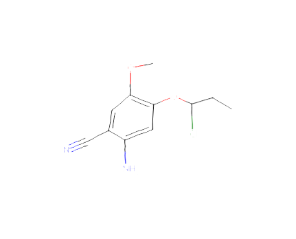 CCC(Cl)Oc1cc(N)c(C#N)cc1OC